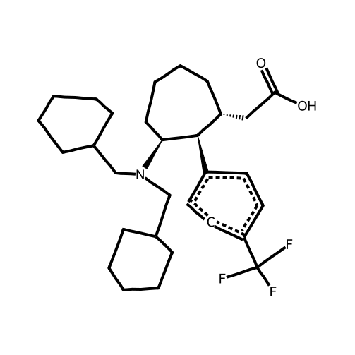 O=C(O)C[C@H]1CCCC[C@H](N(CC2CCCCC2)CC2CCCCC2)[C@@H]1c1ccc(C(F)(F)F)cc1